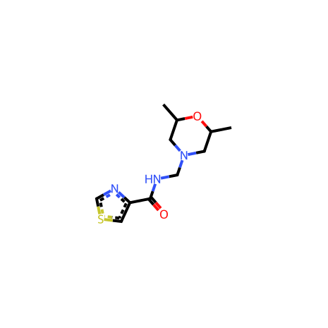 CC1CN(CNC(=O)c2cscn2)CC(C)O1